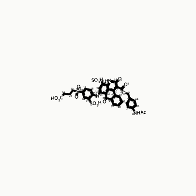 CC(=O)Nc1ccc(COC(=O)c2c3c4c(c(Nc5ccc(S(=O)(=O)CCCC(=O)O)cc5S(=O)(=O)O)cc(S(=O)(=O)O)c4[nH]c2=O)C(=O)c2ccccc2-3)cc1